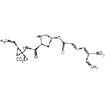 C=C/C(=C\C=C\C(=O)O[C@@H]1CN[C@H](C(=O)N[C@]2(C(=O)OCC)C[C@H]2C=C)C1)[N+](=O)[O-]